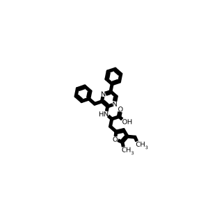 CCc1cc(CC(Nc2ncc(-c3ccccc3)nc2Cc2ccccc2)C(=O)O)oc1C